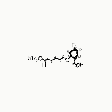 O=C(O)NCCCCCOc1cc(F)ccc1CO